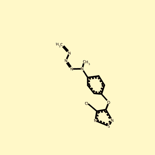 C=N/N=N\N(C)c1ccc(Oc2nsnc2Cl)cc1